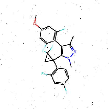 COc1cc(F)c(-c2c(C)nn(C)c2C2(c3ccc(F)cc3F)CC2(F)F)c(F)c1